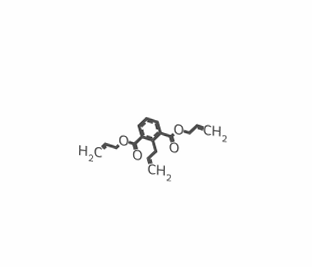 C=CCOC(=O)c1cccc(C(=O)OCC=C)c1CC=C